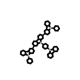 c1ccc(-n2c3ccccc3c3cc(-c4ccc5c6ccc(-c7ccc8c(c7)c7ccccc7n8-c7ccccc7)cc6n(-c6ccc(-n7c8ccccc8c8ccccc87)cc6)c5c4)ccc32)cc1